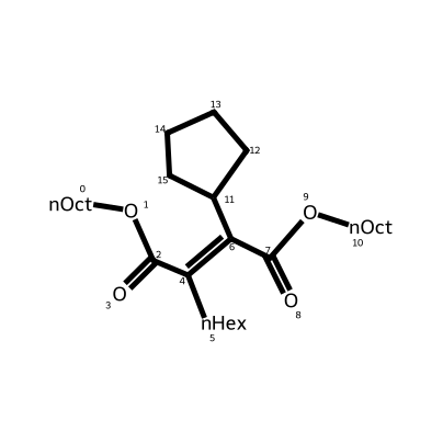 CCCCCCCCOC(=O)C(CCCCCC)=C(C(=O)OCCCCCCCC)C1CCCC1